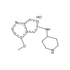 COc1ccnc2ccc(NC3CCNCC3)cc12.Cl